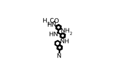 CC(=O)Nc1cccc(C(=N)c2cc(NC3CCCc4cc(C#N)ccc43)ccc2N)c1